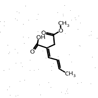 C/C=C/C=C(\CC(=O)OC)C(=O)O